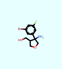 NC1(c2cc(F)cc(Br)c2)COCC1CO